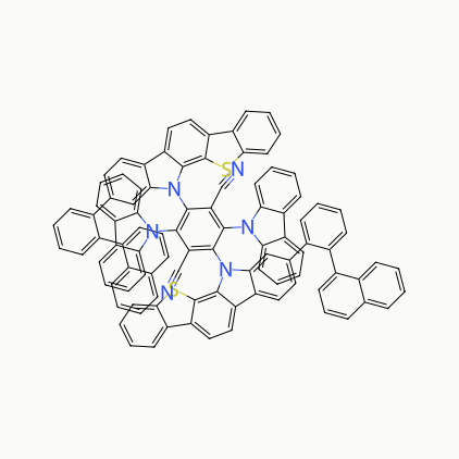 N#Cc1c(-n2c3ccccc3c3ccccc32)c(-n2c3cc(-c4ccccc4-c4cccc5ccccc45)ccc3c3ccc4c5ccccc5sc4c32)c(C#N)c(-n2c3ccccc3c3ccccc32)c1-n1c2cc(-c3ccccc3-c3cccc4ccccc34)ccc2c2ccc3c4ccccc4sc3c21